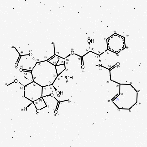 CO[C@H]1C[C@H]2OC[C@@]2(OC(C)=O)C2[C@H](O)[C@]3(O)C[C@H](OC(=O)[C@H](O)[C@@H](NC(=O)CC4/C=C/CCCCC4)c4ccccc4)C(C)=C([C@@H](OC(C)=O)C(=O)[C@@]21C)C3(C)C